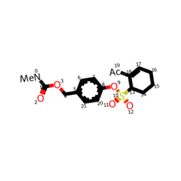 CNC(=O)OCc1ccc(OS(=O)(=O)C2CCCC=C2C(C)=O)cc1